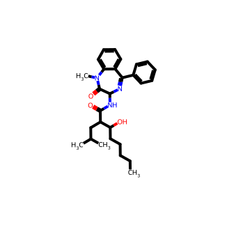 CCCCCC(O)C(CC(C)C)C(=O)NC1N=C(c2ccccc2)c2ccccc2N(C)C1=O